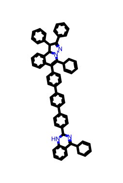 C1=CCC(C2=NC(c3ccc(-c4ccc(-c5ccc(C6=C(C7C=CC=CC7)N7N=C(c8ccccc8)C(c8ccccc8)C7c7ccccc76)cc5)cc4)cc3)Nc3ccccc32)C=C1